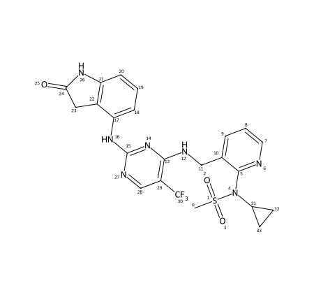 CS(=O)(=O)N(c1ncccc1CNc1nc(Nc2cccc3c2CC(=O)N3)ncc1C(F)(F)F)C1CC1